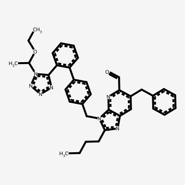 CCCCc1nc2cc(Cc3ccccc3)c(C=O)nc2n1Cc1ccc(-c2ccccc2-c2nnnn2C(C)OCC)cc1